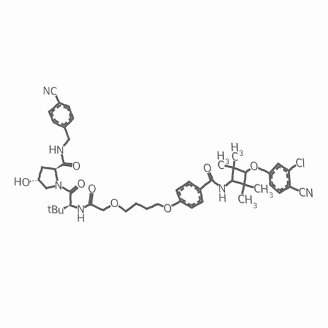 CC1(C)C(NC(=O)c2ccc(OCCCCOCC(=O)N[C@H](C(=O)N3C[C@H](O)C[C@H]3C(=O)NCc3ccc(C#N)cc3)C(C)(C)C)cc2)C(C)(C)C1Oc1ccc(C#N)c(Cl)c1